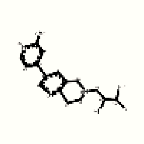 CC(=O)c1cc(-c2cnc3c(c2)CN(CC(F)C(C)F)CC3)ccn1